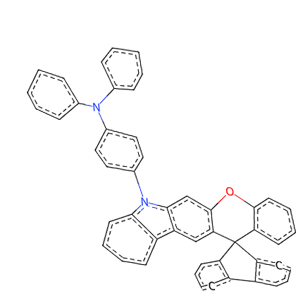 c1ccc(N(c2ccccc2)c2ccc(-n3c4ccccc4c4cc5c(cc43)Oc3ccccc3C53c4ccccc4-c4ccccc43)cc2)cc1